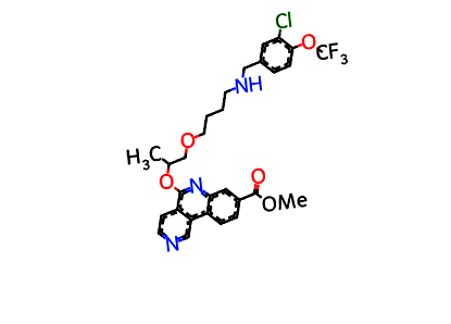 COC(=O)c1ccc2c(c1)nc(OC(C)COCCCCNCc1ccc(OC(F)(F)F)c(Cl)c1)c1ccncc12